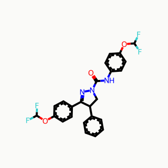 O=C(Nc1ccc(OC(F)F)cc1)N1CC(c2ccccc2)C(c2ccc(OC(F)F)cc2)=N1